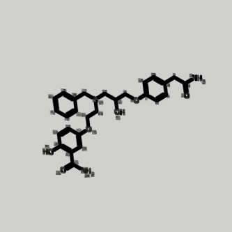 NC(=O)Cc1ccc(OCC(O)CN(CCOc2ccc(O)c(C(N)=O)c2)Cc2ccccc2)cc1